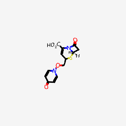 O=C(O)C1=CC(COn2ccc(=O)cc2)S[C@@H]2CC(=O)N12